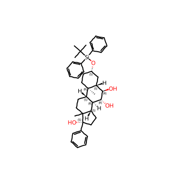 CC12CC[C@H]3[C@@H]([C@@H](O)[C@H](O)[C@H]4C[C@@H](O[Si](c5ccccc5)(c5ccccc5)C(C)(C)C)CC[C@@]43C)[C@@H]1CC[C@@]2(O)c1ccccc1